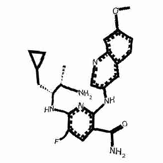 COc1ccc2cc(Nc3nc(N[C@H](CC4CC4)[C@H](C)N)c(F)cc3C(N)=O)cnc2c1